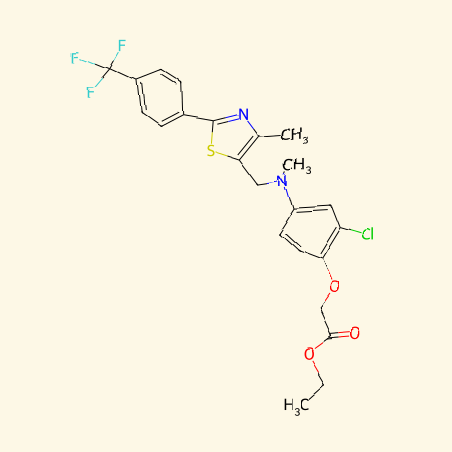 CCOC(=O)COc1ccc(N(C)Cc2sc(-c3ccc(C(F)(F)F)cc3)nc2C)cc1Cl